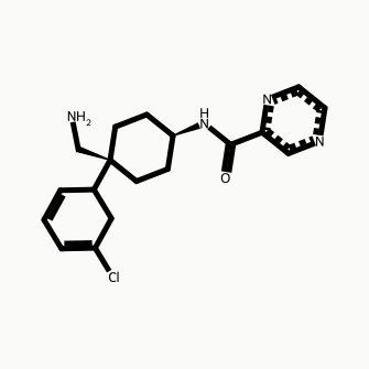 NC[C@]1(C2C=CC=C(Cl)C2)CC[C@H](NC(=O)c2cnccn2)CC1